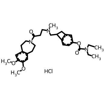 CCN(CC)C(=O)Oc1ccc2c(c1)CC2CN(C)CCC(=O)N1CCc2cc(OC)c(OC)cc2CC1.Cl